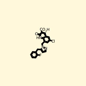 O=C(O)c1cc2cc(Cl)cc(Cn3nccc3Cc3ccccc3F)c2[nH]c1=O